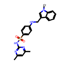 CCn1cc(CNc2ccc(S(=O)(=O)Nc3nc(C)cc(C)n3)cc2)c2ccccc21